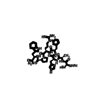 CCCC[C@H](NC(C)=O)C(=O)N[C@@H](C)C(=O)N[C@@H](Cc1c[nH]cn1)C(=O)N[C@H](Cc1ccccc1)C(=O)N[C@@H](CCCNC(=N)N)C(=O)N1CCC[C@H]1C(=O)N[C@H](Cc1c[nH]c2ccccc12)C(N)=O